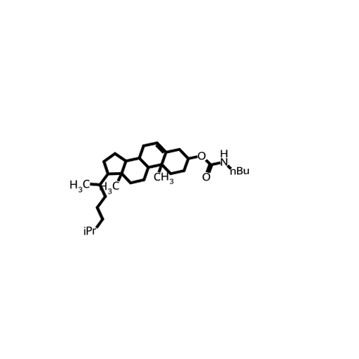 CCCCNC(=O)OC1CCC2(C)C(=CCC3C2CCC2(C)C(C(C)CCCC(C)C)CCC32)C1